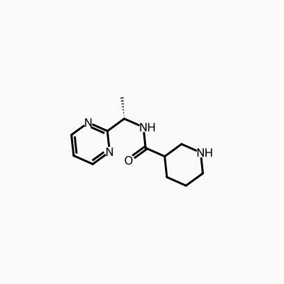 C[C@H](NC(=O)C1CCCNC1)c1ncccn1